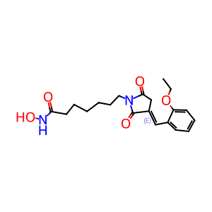 CCOc1ccccc1/C=C1\CC(=O)N(CCCCCCC(=O)NO)C1=O